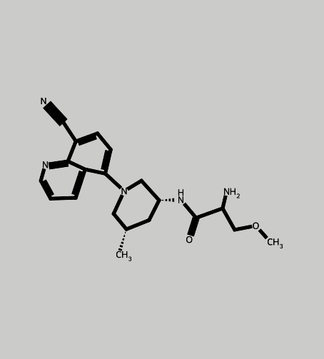 COCC(N)C(=O)N[C@@H]1C[C@H](C)CN(c2ccc(C#N)c3ncccc23)C1